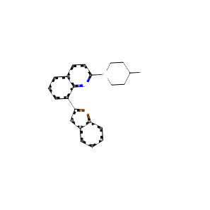 CCOC(=O)C1CCN(c2ccc3cccc(-c4cc5ccccc5s4)c3n2)CC1